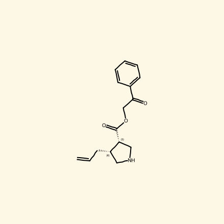 C=CC[C@H]1CNC[C@H]1C(=O)OCC(=O)c1ccccc1